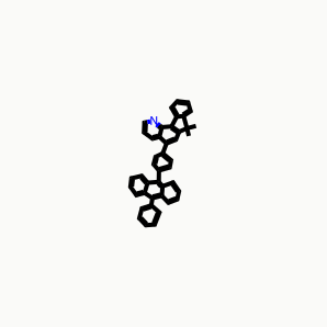 CC1(C)c2ccccc2-c2c1cc(-c1ccc(-c3c4ccccc4c(-c4ccccc4)c4ccccc34)cc1)c1cccnc21